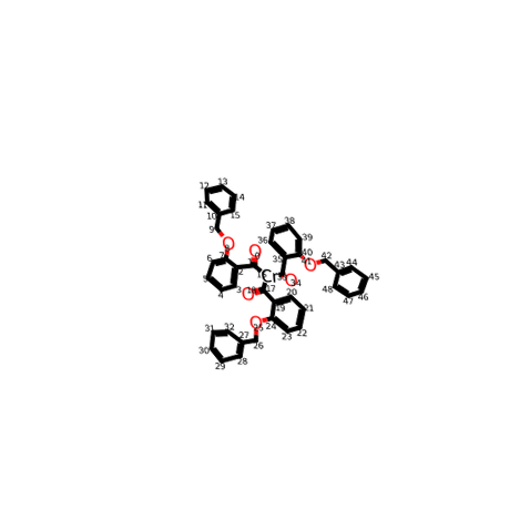 O=[C](c1ccccc1OCc1ccccc1)[Cr]([C](=O)c1ccccc1OCc1ccccc1)[C](=O)c1ccccc1OCc1ccccc1